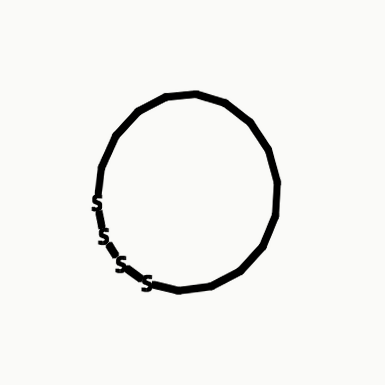 C1CCCCCCCSSSSCCCCCC1